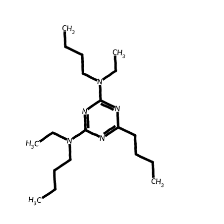 CCCCc1nc(N(CC)CCCC)nc(N(CC)CCCC)n1